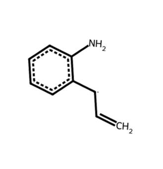 C=C[CH]c1ccccc1N